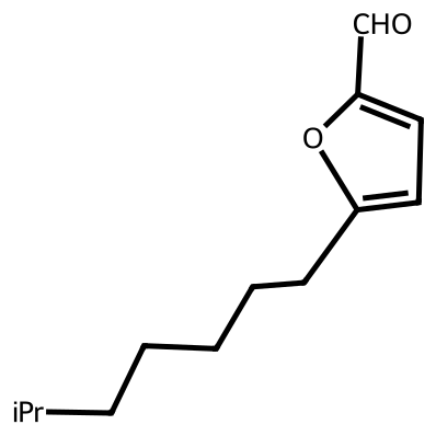 CC(C)CCCCCc1ccc(C=O)o1